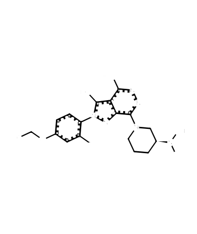 CCOc1ccc(-n2nc3c(N4CCC[C@H](N(C)C)C4)nnc(C)c3c2C)c(F)c1